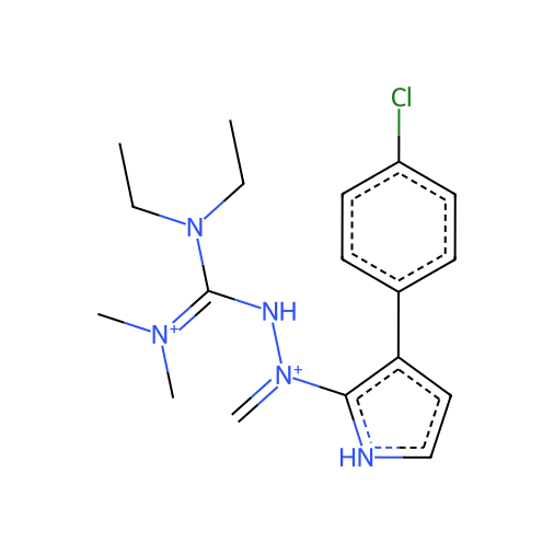 C=[N+](NC(N(CC)CC)=[N+](C)C)c1[nH]ccc1-c1ccc(Cl)cc1